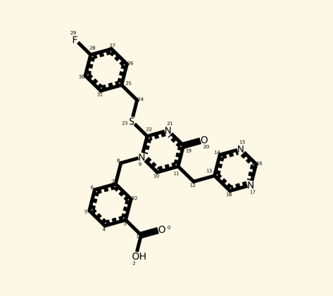 O=C(O)c1cccc(Cn2cc(Cc3cncnc3)c(=O)nc2SCc2ccc(F)cc2)c1